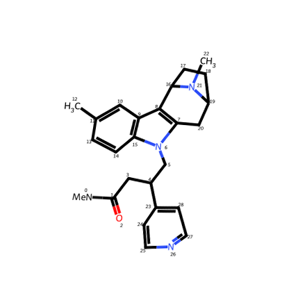 CNC(=O)CC(Cn1c2c(c3cc(C)ccc31)C1CCC(C2)N1C)c1ccncc1